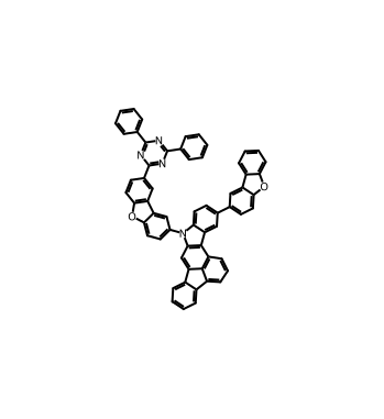 c1ccc(-c2nc(-c3ccccc3)nc(-c3ccc4oc5ccc(-n6c7ccc(-c8ccc9oc%10ccccc%10c9c8)cc7c7c8cccc9c8c(cc76)-c6ccccc6-9)cc5c4c3)n2)cc1